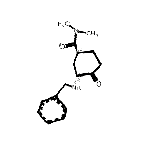 CN(C)C(=O)[C@H]1CCC(=O)[C@H](NCc2ccccc2)C1